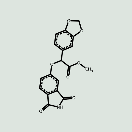 COC(=O)C(Oc1ccc2c(c1)C(=O)NC2=O)c1ccc2c(c1)OCO2